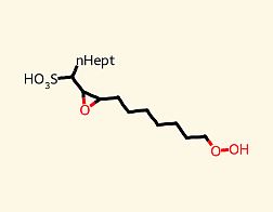 CCCCCCCC(C1OC1CCCCCCCOO)S(=O)(=O)O